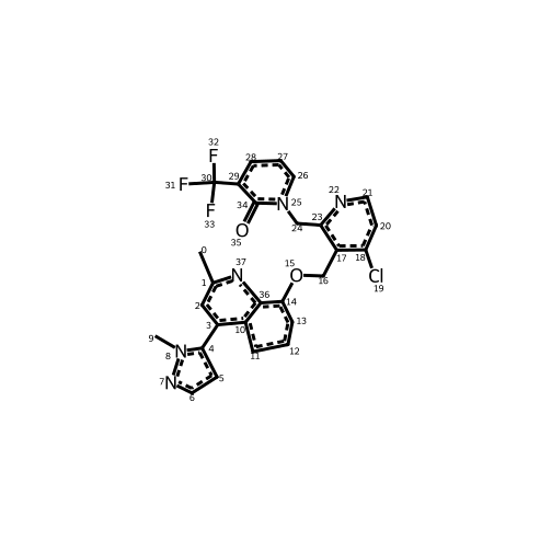 Cc1cc(-c2ccnn2C)c2cccc(OCc3c(Cl)ccnc3Cn3cccc(C(F)(F)F)c3=O)c2n1